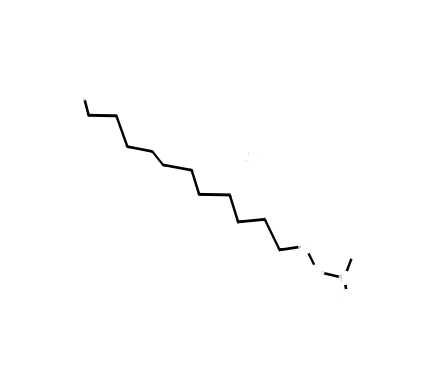 CCCCCCCCCCCCOOB([O-])[O-].[Zn+2]